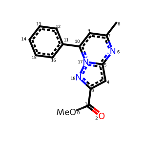 COC(=O)c1cc2nc(C)cc(-c3ccccc3)n2n1